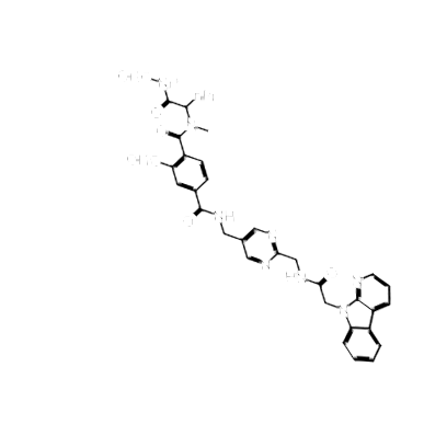 CCCC(C(=O)NC=O)N(C)C(=O)c1ccc(C(=O)NCc2cnc(CNC(=O)Cn3c4ccccc4c4cccnc43)nc2)cc1C=O